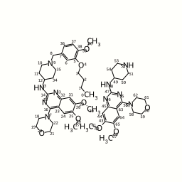 CCCCOc1cc(CN2CCC(Nc3nc(N4CCOCC4)c4cc(OC)c(OC)cc4n3)CC2)ccc1OC.COc1cc2nc(NC3CCNCC3)nc(N3CCOCC3)c2cc1OC